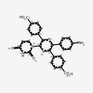 Nc1ccc(-c2nc(-c3ccc(C(=O)O)cc3)c(-n3ccc(=O)[nH]c3=O)nc2-c2ccc(C(=O)O)cc2)cc1